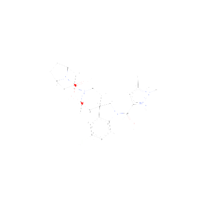 CCOC(=O)N1C2CCC1CC(N1CCC3(CC1)CN(C(=O)c1cc(C)n(C)n1)c1ccc(F)cc13)C2